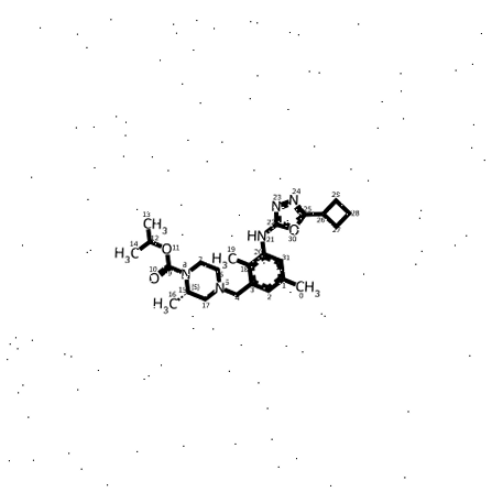 Cc1cc(CN2CCN(C(=O)OC(C)C)[C@@H](C)C2)c(C)c(Nc2nnc(C3CCC3)o2)c1